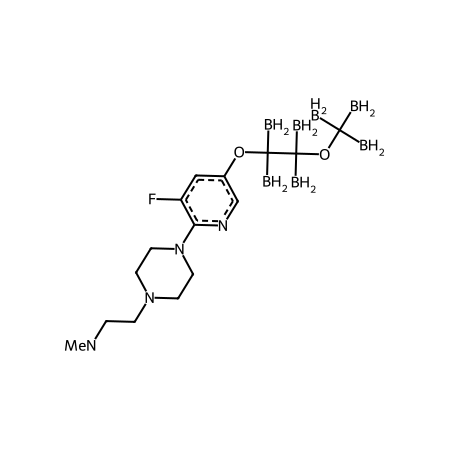 BC(B)(B)OC(B)(B)C(B)(B)Oc1cnc(N2CCN(CCNC)CC2)c(F)c1